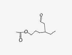 CCC(CC=O)CCCOC(C)=O